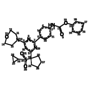 O=C(Nc1ccc(-c2nc(N3CCOCC3)cc(C3(S(=O)(=O)C4CC4)CCCC3)n2)cc1)Oc1ccccc1